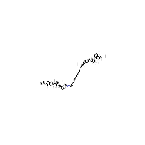 Cc1c(CC(=O)N(C)C)ccc(NC(=O)c2n[nH]c3nc([C@@H]4CCCN(C(=O)/C=C/CN(C)CCOCCOCCOCCOCCNS(=O)(=O)c5ccc(Nc6ncc(Br)c(Nc7cccc(F)c7C(N)=O)n6)cc5)C4)nc(N)c23)c1C